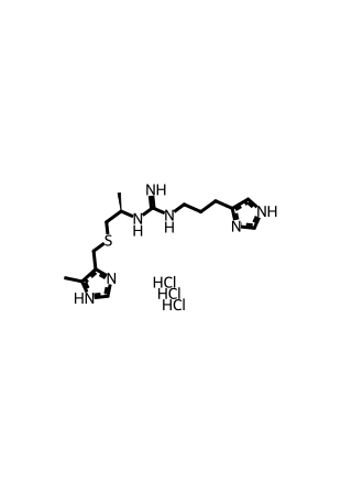 Cc1[nH]cnc1CSC[C@@H](C)NC(=N)NCCCc1c[nH]cn1.Cl.Cl.Cl